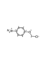 Nc1ccc(OCCl)cc1